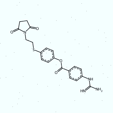 N=C(N)Nc1ccc(C(=O)Oc2ccc(SCCN3C(=O)CCC3=O)cc2)cc1